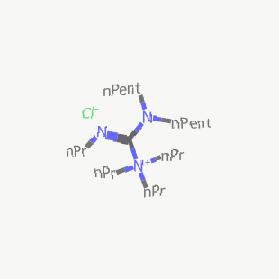 CCCCCN(CCCCC)C(=NCCC)[N+](CCC)(CCC)CCC.[Cl-]